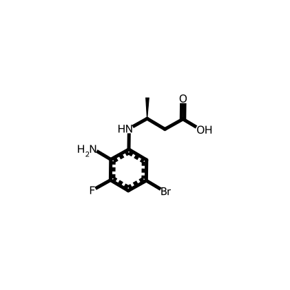 C[C@@H](CC(=O)O)Nc1cc(Br)cc(F)c1N